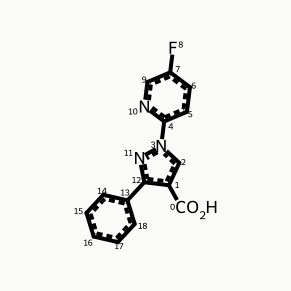 O=C(O)c1cn(-c2ccc(F)cn2)nc1-c1ccccc1